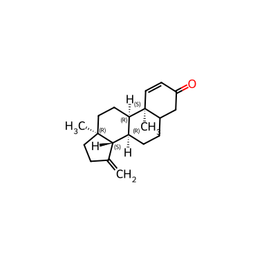 C=C1CC[C@@]2(C)CC[C@@H]3[C@@H](CCC4CC(=O)C=C[C@@]43C)[C@H]12